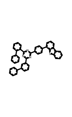 c1ccc(-c2cccc(-c3nc(-c4ccc(-c5cccc6c5sc5ccccc56)cc4)nc(-c4ccccc4-c4ccccc4)n3)c2)cc1